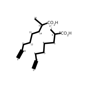 C#CCCCCC(C)C(=O)O.C#CCCCCC(C)C(=O)O